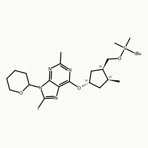 Cc1nc(O[C@@H]2C[C@@H](CO[Si](C)(C)C(C)(C)C)[C@@H](C)C2)c2nc(I)n(C3CCCCO3)c2n1